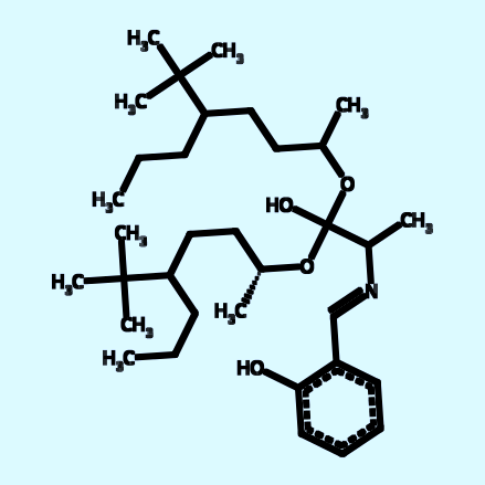 CCCC(CCC(C)OC(O)(O[C@H](C)CCC(CCC)C(C)(C)C)C(C)N=Cc1ccccc1O)C(C)(C)C